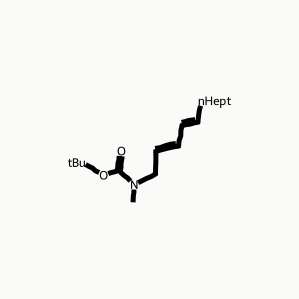 CCCCCCC/C=C/C=C/CN(C)C(=O)OC(C)(C)C